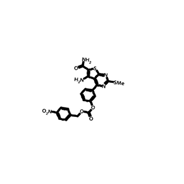 CSc1nc(-c2cccc(OC(=O)OCc3ccc([N+](=O)[O-])cc3)c2)c2c(N)c(C(N)=O)sc2n1